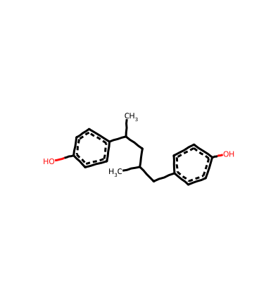 CC(Cc1ccc(O)cc1)CC(C)c1ccc(O)cc1